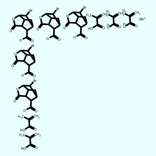 C=C(C)C(=O)O.C=C(C)C(=O)O.C=C(C)C(=O)O.C=C(C)C(=O)O.C=C(C)C(=O)O.O=C([O-])C1C2CC3C(OC(=O)C31)C2Br.O=C([O-])C1C2CC3C(OC(=O)C31)C2Br.O=C([O-])C1C2CC3C(OC(=O)C31)C2Br.O=C([O-])C1C2CC3C(OC(=O)C31)C2Br.O=C([O-])C1C2CC3C(OC(=O)C31)C2Br.[Nb+5]